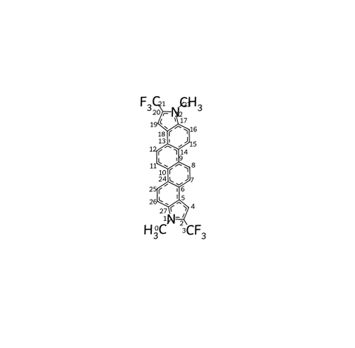 Cn1c(C(F)(F)F)cc2c3ccc4c(ccc5c4ccc4c5cc(C(F)(F)F)n4C)c3ccc21